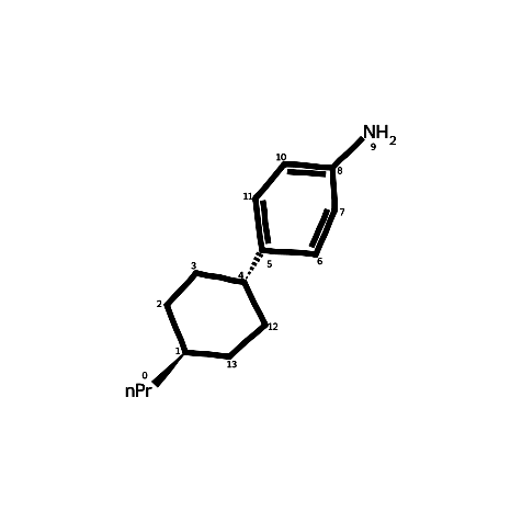 CCC[C@H]1CC[C@H](c2ccc(N)cc2)CC1